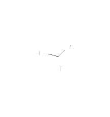 CC[C@H](C)C#N